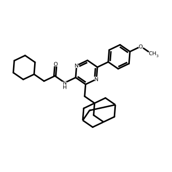 COc1ccc(-c2cnc(NC(=O)CC3CCCCC3)c(CC34CC5CC(CC(C5)C3)C4)n2)cc1